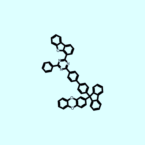 c1ccc(-c2nc(-c3ccc(-c4ccc(C5(c6ccc7c(c6)Oc6ccccc6O7)c6ccccc6-c6ccccc65)cc4)cc3)nc(-c3cccc4c3oc3ccccc34)n2)cc1